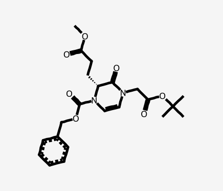 COC(=O)CC[C@@H]1C(=O)N(CC(=O)OC(C)(C)C)C=CN1C(=O)OCc1ccccc1